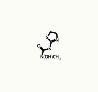 CN(O)C(=O)SC1=NCCS1